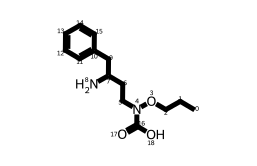 CCCON(CCC(N)Cc1ccccc1)C(=O)O